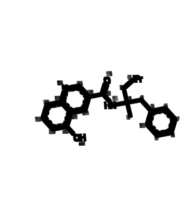 CC(C)CC(C)(Cc1ccccc1)NC(=O)c1cnc2cccc(O)c2c1